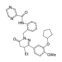 CCC1CC(=O)N(Cc2ccccc2NC(=O)c2cnccn2)N=C1c1ccc(OC)c(OC2CCCC2)c1